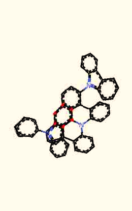 c1ccc(-c2ccccc2N(c2ccccc2-c2c(-n3c4ccccc4c4ccccc43)ccc3ccccc23)c2cccc3c2c2ccccc2n3-c2ccccc2)cc1